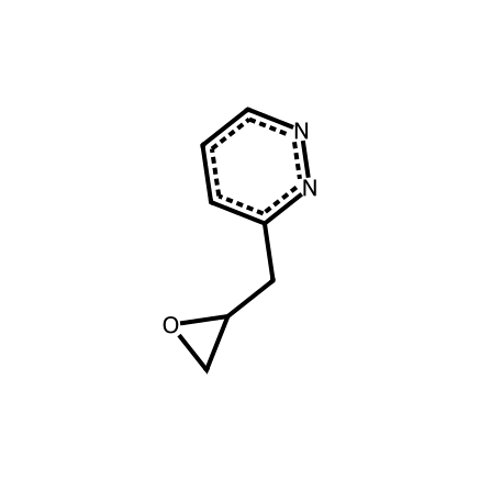 c1cnnc(CC2CO2)c1